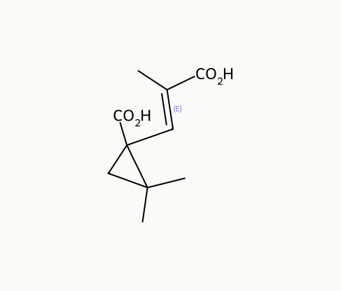 C/C(=C\C1(C(=O)O)CC1(C)C)C(=O)O